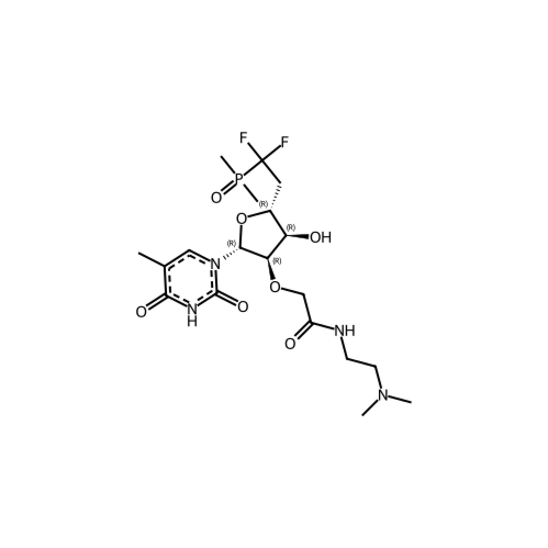 Cc1cn([C@@H]2O[C@H](CC(F)(F)P(C)(C)=O)[C@@H](O)[C@H]2OCC(=O)NCCN(C)C)c(=O)[nH]c1=O